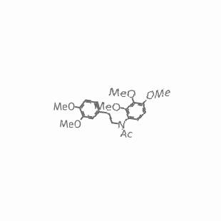 COc1ccc(CCN(C(C)=O)c2ccc(OC)c(OC)c2OC)cc1OC